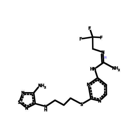 N/C(=N/CC(F)(F)F)Nc1ccnc(SCCCNc2nsnc2N)n1